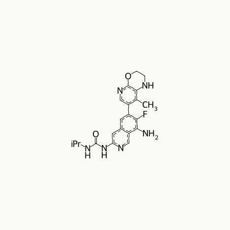 Cc1c(-c2cc3cc(NC(=O)NC(C)C)ncc3c(N)c2F)cnc2c1NCCO2